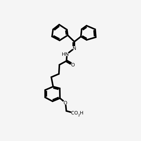 O=C(O)COc1cccc(CCCC(=O)NN=C(c2ccccc2)c2ccccc2)c1